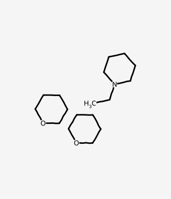 C1CCOCC1.C1CCOCC1.CCN1CCCCC1